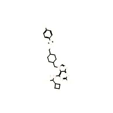 Cc1ccc(S(=O)(=O)OCC2CCC(Cn3cnc4nc(Cl)nc(NC(C)C5CCC5)c43)CC2)cc1